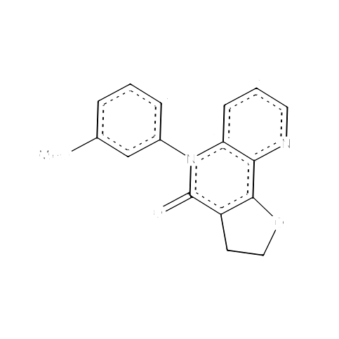 COc1cccc(-n2c(=O)c3c(c4ncccc42)OCC3)c1